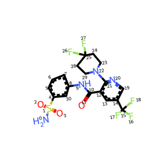 NS(=O)(=O)c1cccc(NC(=O)c2cc(C(F)(F)F)cnc2N2CCC(F)(F)CC2)c1